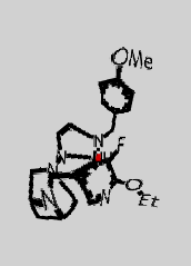 CCOc1ncc(CN2C3CC2CN(N2C=CN(Cc4ccc(OC)cc4)N2)C3)cc1F